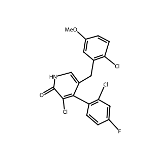 COc1ccc(Cl)c(Cc2c[nH]c(=O)c(Cl)c2-c2ccc(F)cc2Cl)c1